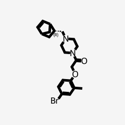 Cc1cc(Br)ccc1OCC(=O)N1CCN(C[C@@H]2CC3C=CC2C3)CC1